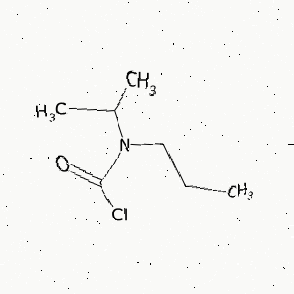 CCCN(C(=O)Cl)C(C)C